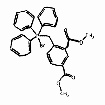 COC(=O)c1ccc(CP(Br)(c2ccccc2)(c2ccccc2)c2ccccc2)c(C(=O)OC)c1